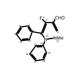 C=C(C=O)/C(F)=C(/c1ccccc1)N(NC)c1ccccc1